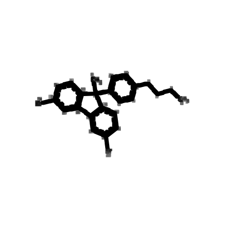 CCCCc1ccc(C2(C)c3ccc(Br)cc3-c3cc(Br)ccc32)cc1